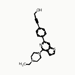 CCN1CCN(c2nc(-c3ccc(C#CCO)cc3)cc3sccc23)CC1